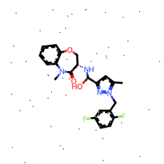 Cc1cc(C(O)N[C@H]2COc3ccccc3N(C)C2=O)nn1Cc1cc(F)ccc1F